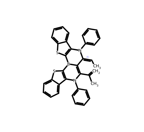 C=C(C)C1=C2B(c3sc4ccccc4c3N1c1ccccc1)c1sc3ccccc3c1N(c1ccccc1)/C2=C/C